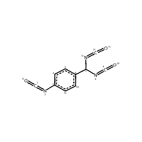 O=C=Nc1ccc(C(N=C=O)N=C=O)cc1